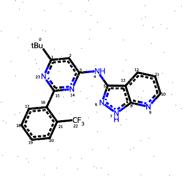 CC(C)(C)c1cc(Nc2n[nH]c3ncccc23)nc(-c2ccccc2C(F)(F)F)n1